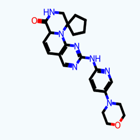 O=C1NCC2(CCCC2)N2c3nc(Nc4ccc(N5CCOCC5)cn4)ncc3C=CC12